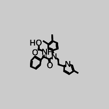 Cc1ccc(CCN(C(=O)[C@@H](NC(=O)O)c2ccccc2)c2ccc(C)c(C)c2)nc1